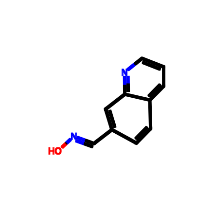 ON=Cc1ccc2cccnc2c1